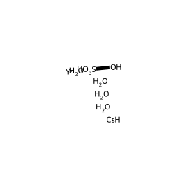 O.O.O.O.O=S(=O)(O)O.[CsH].[Y]